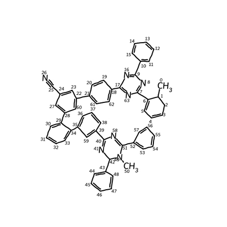 CC1CC=CC=C1c1nc(-c2ccccc2)nc(-c2ccc(-c3cc(C#N)cc(-c4ccccc4-c4cccc(C5=NC(c6ccccc6)N(C)C(c6ccccc6)=N5)c4)c3)cc2)n1